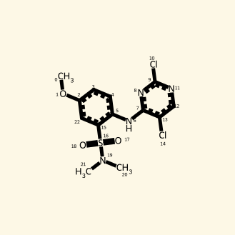 COc1ccc(Nc2nc(Cl)ncc2Cl)c(S(=O)(=O)N(C)C)c1